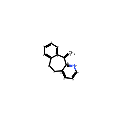 C=C1c2ccccc2CCc2cccnc21